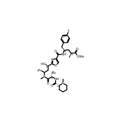 CCC(C)[C@H](NC(=O)[C@H]1CCCCN1C)C(=O)N(C)C(C[C@@H](O)c1nc(C(=O)N[C@@H](Cc2ccc(F)cc2)C[C@H](C)C(=O)OC)cs1)C(C)C